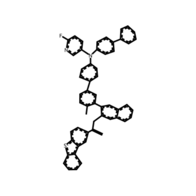 C=C(Cc1cc2ccccc2cc1-c1cc(-c2ccc(N(c3ccc(-c4ccccc4)cc3)c3ccc(F)nc3)cc2)ccc1C)c1ccc2sc3ccccc3c2c1